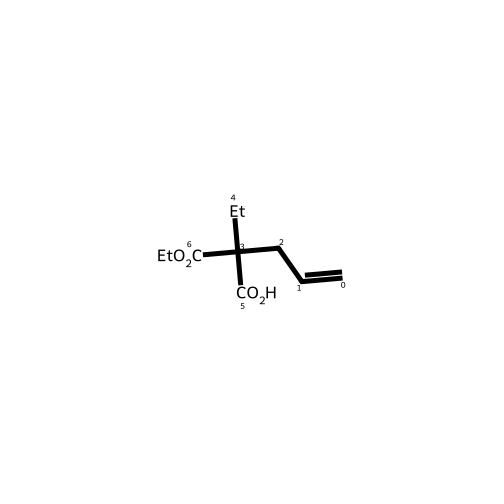 C=CCC(CC)(C(=O)O)C(=O)OCC